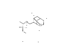 CCC(C)(C)C(C)OCC1C2CC3CC(C2)CC1C3